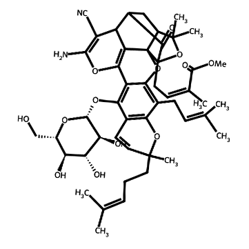 COC(=O)/C(C)=C\CC12OC(C)(C)C3CC(C1=O)C1C(C#N)=C(N)OC4=C1C32Oc1c(CC=C(C)C)c2c(c(O[C@H]3O[C@@H](CO)[C@H](O)[C@@H](O)[C@@H]3O)c14)C=CC(C)(CCC=C(C)C)O2